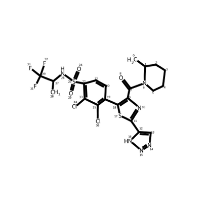 CC1CCCCN1C(=O)c1nc(-c2cnn[nH]2)sc1-c1ccc(S(=O)(=O)NC(C)C(F)(F)F)c(Cl)c1Cl